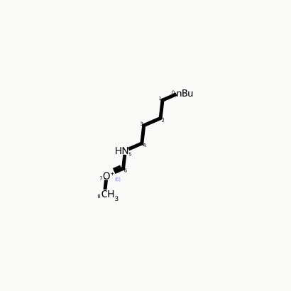 CCCCCCCCN/C=[O+]/C